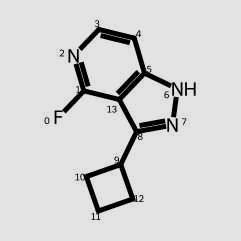 Fc1nccc2[nH]nc(C3CCC3)c12